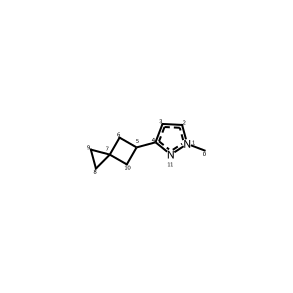 Cn1ccc(C2CC3(CC3)C2)n1